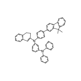 CC1(C)c2ccccc2-c2ccc(-c3ccc(N(C4=Cc5ccccc5CC4)c4cccc(N(c5ccccc5)c5ccccc5)c4)cc3)cc21